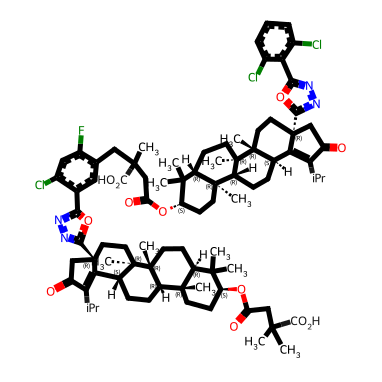 CC(C)C1=C2[C@H]3CC[C@@H]4[C@@]5(C)CC[C@H](OC(=O)CC(C)(C)C(=O)O)C(C)(C)[C@@H]5CC[C@@]4(C)[C@]3(C)CC[C@@]2(c2nnc(-c3cc(CC(C)(CC(=O)O[C@H]4CC[C@]5(C)[C@H]6CC[C@@H]7C8=C(C(C)C)C(=O)C[C@]8(c8nnc(-c9c(Cl)cccc9Cl)o8)CC[C@@]7(C)[C@]6(C)CC[C@H]5C4(C)C)C(=O)O)c(F)cc3Cl)o2)CC1=O